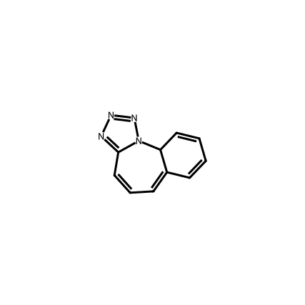 C1=CC2=CC=Cc3nnnn3C2C=C1